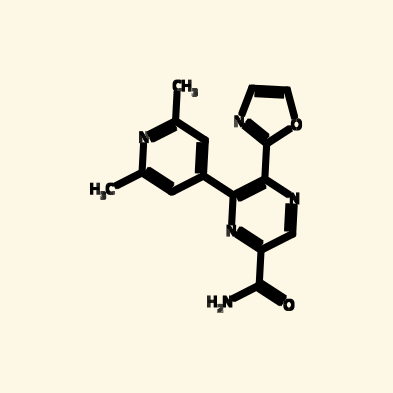 Cc1cc(-c2nc(C(N)=O)cnc2-c2ncco2)cc(C)n1